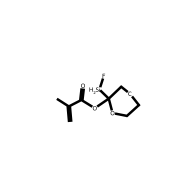 C=C(C)C(=O)OC1([SiH2]F)CCCCO1